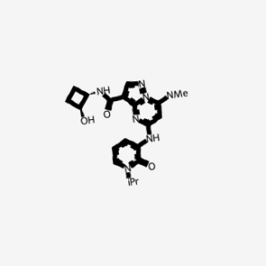 CNc1cc(Nc2cccn(C(C)C)c2=O)nc2c(C(=O)N[C@H]3CC[C@@H]3O)cnn12